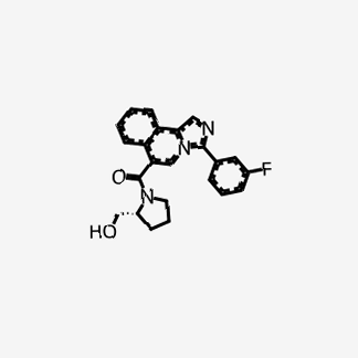 O=C(c1cn2c(-c3cccc(F)c3)ncc2c2ccccc12)N1CCC[C@@H]1CO